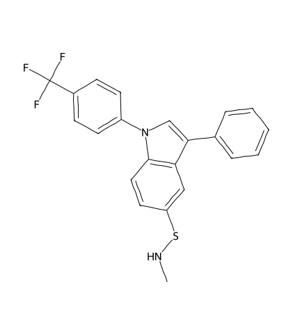 CNSc1ccc2c(c1)c(-c1ccccc1)cn2-c1ccc(C(F)(F)F)cc1